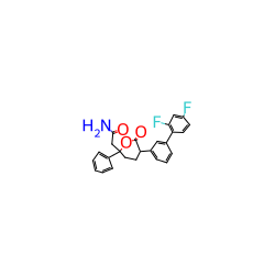 NC(=O)CC1(c2ccccc2)CCC(c2cccc(-c3ccc(F)cc3F)c2)C(=O)O1